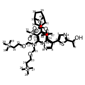 CC(O)c1ncc(-c2cnn3c(N(COCC[Si](C)(C)C)COCC[Si](C)(C)C)c(S(C)(=O)=O)c(C4CC5CCC(C4)N5C(=O)OC(C)(C)C)nc23)s1